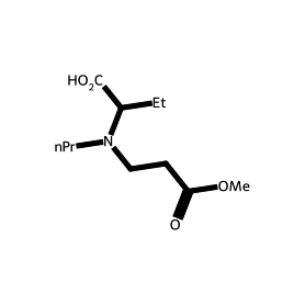 CCCN(CCC(=O)OC)C(CC)C(=O)O